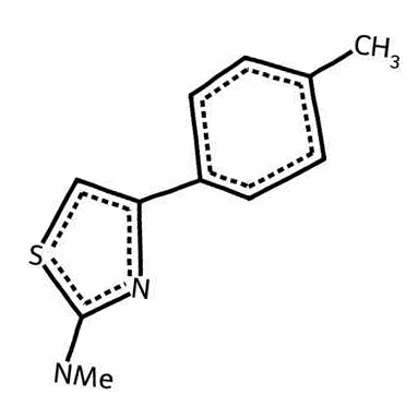 CNc1nc(-c2ccc(C)cc2)cs1